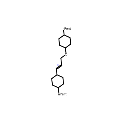 CCCCCC1CCC(/C=C/COC2CCC(CCCCC)CC2)CC1